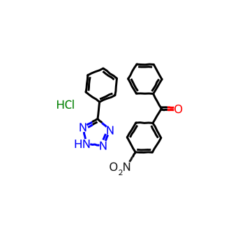 Cl.O=C(c1ccccc1)c1ccc([N+](=O)[O-])cc1.c1ccc(-c2nn[nH]n2)cc1